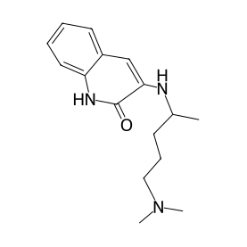 CC(CCCN(C)C)Nc1cc2ccccc2[nH]c1=O